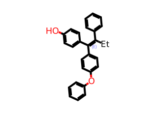 CC/C(=C(/c1ccc(O)cc1)c1ccc(Oc2ccccc2)cc1)c1ccccc1